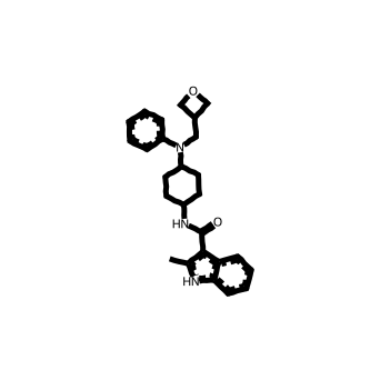 Cc1[nH]c2ccccc2c1C(=O)NC1CCC(N(CC2COC2)c2ccccc2)CC1